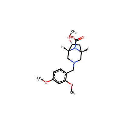 COc1ccc(CN2C[C@H]3C[C@@H](OC)[C@@H](C2)N3C(=O)O)c(OC)c1